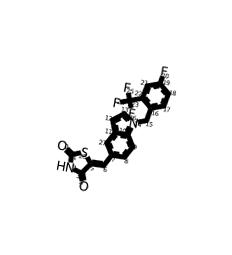 O=C1NC(=O)C(=Cc2ccc3c(ccn3Cc3ccc(F)cc3C(F)(F)F)c2)S1